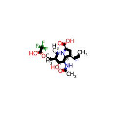 C/C=C\[C@@H]1C[C@H](C(=O)O)N[C@H]1[C@@H](NC(C)=O)[C@H](O)C(CC)CC.O=C(O)C(F)(F)F